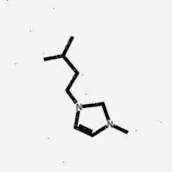 CC(C)CCN1C=CN(C)C1